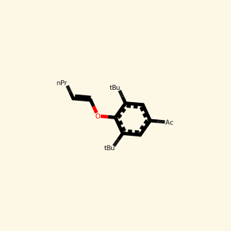 CCCC=COc1c(C(C)(C)C)cc(C(C)=O)cc1C(C)(C)C